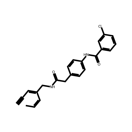 C#C/C=C(\C=C/C)CNC(=O)Cc1ccc(NC(=O)c2cccc(Cl)c2)cc1